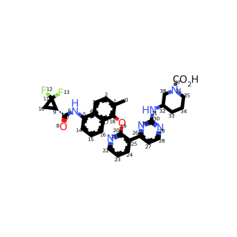 Cc1ccc2c(NC(=O)[C@@H]3CC3(F)F)cccc2c1Oc1ncccc1-c1ccnc(NC2CCCN(C(=O)O)C2)n1